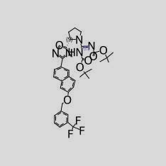 CC(C)(C)OC(=O)/N=C(\NC(=O)OC(C)(C)C)N1CCC[C@H]1c1nc(-c2ccc3cc(OCc4cccc(C(F)(F)F)c4)ccc3c2)no1